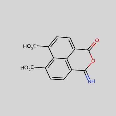 N=C1OC(=O)c2ccc(C(=O)O)c3c(C(=O)O)ccc1c23